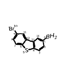 Bc1ccc2sc3ccc(Br)cc3c2c1